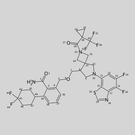 NC(=O)c1c(COCC2CN(c3cc(F)c(F)c4ncsc34)CC23CN(C(=O)C2(C(F)(F)F)CC2)C3)cccc1C1CCC(F)(F)CC1